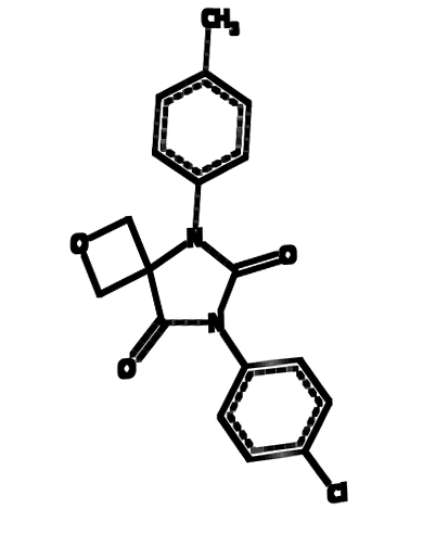 Cc1ccc(N2C(=O)N(c3ccc(Cl)cc3)C(=O)C23COC3)cc1